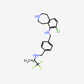 C[C@@H](NCc1ccc(CNc2c(Cl)ccc3c2CCNCC3)cc1)C(F)(F)F